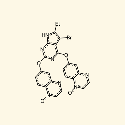 CCc1[nH]c2nc(Oc3ccc4c(c3)ncc[n+]4[O-])nc(Oc3ccc4c(c3)ncc[n+]4[O-])c2c1Br